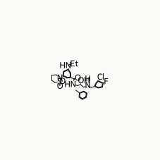 CCNc1cc(C(=O)N[C@@H](Cc2ccccc2)[C@H](O)CNCc2ccc(F)c(Cl)c2)cc(N2CCCCS2(=O)=O)c1